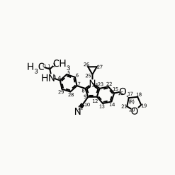 CC(C)Nc1ccc(-c2c(C#N)c3ccc(O[C@@H]4CCOC4)cc3n2C2CC2)cc1